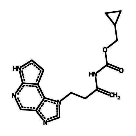 C=C(CCn1cnc2cnc3[nH]ccc3c21)NC(=O)OCC1CC1